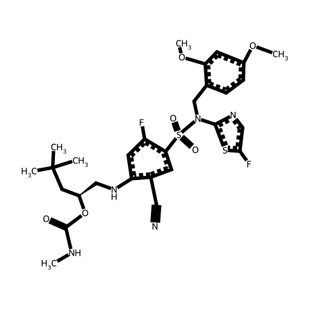 CNC(=O)O[C@H](CNc1cc(F)c(S(=O)(=O)N(Cc2ccc(OC)cc2OC)c2ncc(F)s2)cc1C#N)CC(C)(C)C